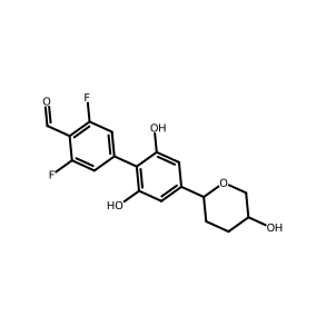 O=Cc1c(F)cc(-c2c(O)cc(C3CCC(O)CO3)cc2O)cc1F